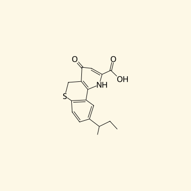 CCC(C)c1ccc2c(c1)-c1[nH]c(C(=O)O)cc(=O)c1CS2